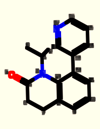 CC(C)N1C(=O)CCc2cccc(-c3cccnc3)c21